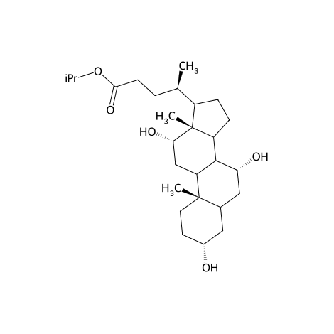 CC(C)OC(=O)CC[C@@H](C)C1CCC2C3C(C[C@H](O)[C@@]21C)[C@@]1(C)CC[C@@H](O)CC1C[C@H]3O